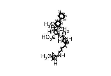 Cc1c[nH]c(NCCCCC2CC(C(=O)NCC(NS(=O)(=O)c3c(C)cc(-c4ccccc4)cc3C)C(=O)O)NO2)n1